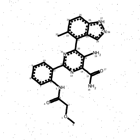 COCC(=O)Nc1ccccc1-c1nc(C(N)=O)c(N)c(-c2c(C)ccc3[nH]ncc23)n1